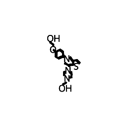 OCCOc1ccc(N2C=c3ccsc3=C(N3CCN(CCO)CC3)C2)cc1